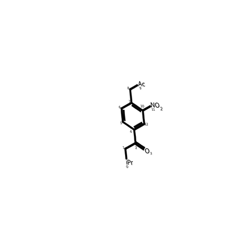 [CH2]C(C)CC(=O)c1ccc(CC(C)=O)c([N+](=O)[O-])c1